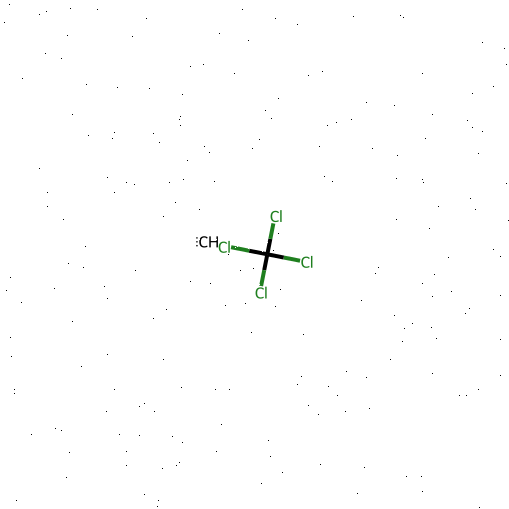 ClC(Cl)(Cl)Cl.[CH]